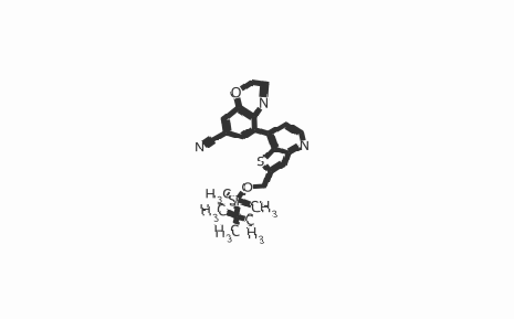 CC(C)(C)[Si](C)(C)OCc1cc2nccc(-c3cc(C#N)cc4c3N=CCO4)c2s1